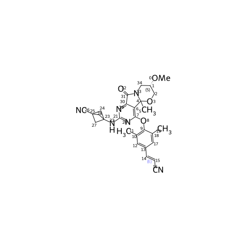 CO[C@@H]1COC2(C)c3c(Oc4c(C)cc(/C=C/C#N)cc4C)nc(NC45CC(C#N)(C4)C5)nc3C(=O)N2C1